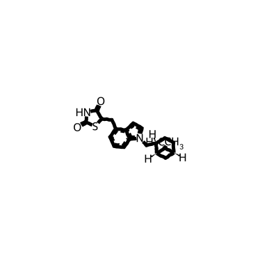 CC1(C)[C@H]2CC[C@H](Cn3ccc4c(CC5SC(=O)NC5=O)cccc43)[C@@H]1C2